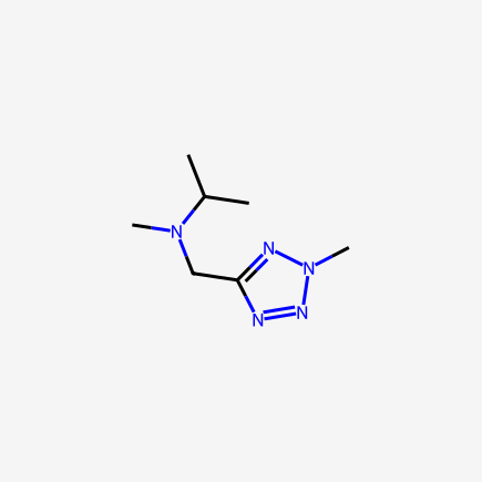 CC(C)N(C)Cc1nnn(C)n1